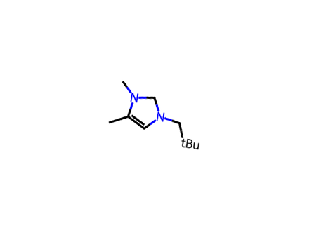 CC1=CN(CC(C)(C)C)CN1C